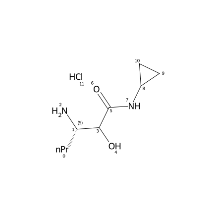 CCC[C@H](N)C(O)C(=O)NC1CC1.Cl